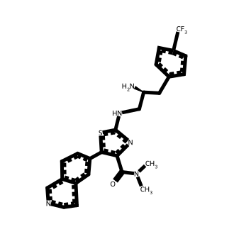 CN(C)C(=O)c1nc(NC[C@@H](N)Cc2ccc(C(F)(F)F)cc2)sc1-c1ccc2cnccc2c1